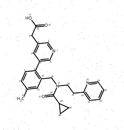 Cc1ccc(-c2cncc(CC(=O)O)c2)c(CN(CCc2ccccn2)C(=O)C2CC2)c1